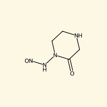 O=NNN1CCNCC1=O